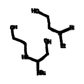 CCCCC(CO)NCCO.CCN(CC)CCO